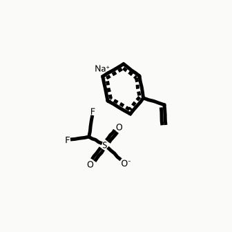 C=Cc1ccccc1.O=S(=O)([O-])C(F)F.[Na+]